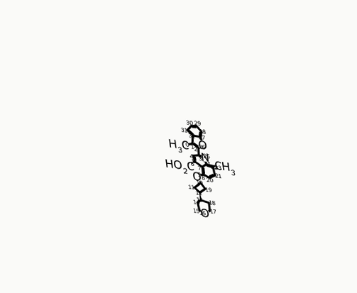 Cc1c(-c2cc(C(=O)O)c3c(O[C@H]4C[C@H](C5CCOCC5)C4)ccc(C)c3n2)oc2ccccc12